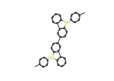 Cc1ccc([SH]2c3ccccc3-c3cc(-c4ccc5c(c4)-c4ccccc4[SH]5c4ccc(C)cc4)ccc32)cc1